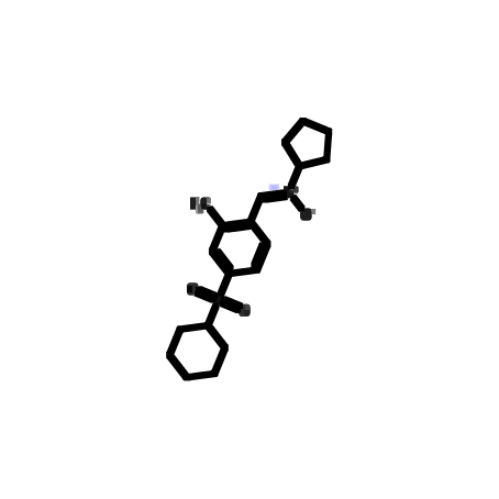 O=S(=O)(c1ccc(/C=[N+](\[O-])C2CCCC2)c(C(F)(F)F)c1)C1CCCCC1